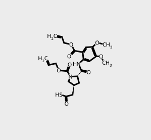 C=CCOC(=O)c1cc(OC)c(OC)cc1NC(=O)[C@@H]1C[C@@H](CC(=O)S)CN1C(=O)OCC=C